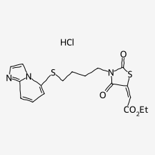 CCOC(=O)C=C1SC(=O)N(CCCCSc2cccc3nccn23)C1=O.Cl